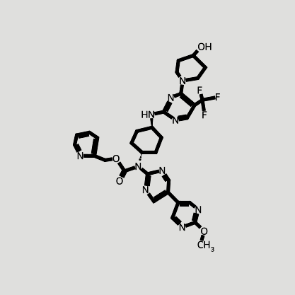 COc1ncc(-c2cnc(N(C(=O)OCc3ccccn3)[C@H]3CC[C@H](Nc4ncc(C(F)(F)F)c(N5CCC(O)CC5)n4)CC3)nc2)cn1